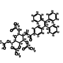 CC(=O)OCC1OC(OC(C)=O)C(NC(=O)c2ccc(C(=C(c3ccccc3)c3ccccc3)c3ccccc3)cc2)C(OC(C)=O)C1OC(C)=O